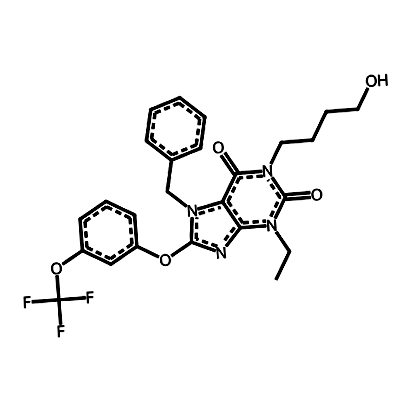 CCn1c(=O)n(CCCCO)c(=O)c2c1nc(Oc1cccc(OC(F)(F)F)c1)n2Cc1ccccc1